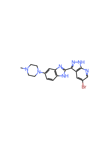 CN1CCN(c2ccc3[nH]c(-c4n[nH]c5ncc(Br)cc45)nc3c2)CC1